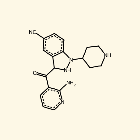 N#Cc1ccc2c(c1)C(C(=O)c1cccnc1N)NN2C1CCNCC1